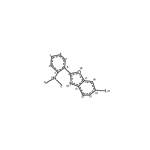 CN(C)c1ccccc1-c1nc2ccc(I)cc2o1